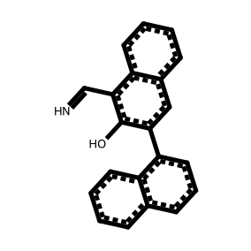 N=Cc1c(O)c(-c2cccc3ccccc23)cc2ccccc12